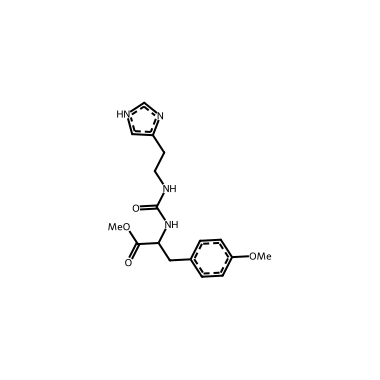 COC(=O)C(Cc1ccc(OC)cc1)NC(=O)NCCc1c[nH]cn1